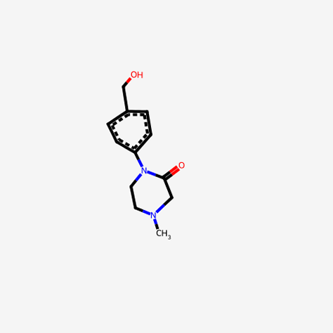 CN1CCN(c2ccc(CO)cc2)C(=O)C1